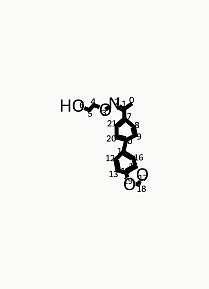 C/C(=N/OCCO)c1ccc(-c2ccc3c(c2)OCO3)cc1